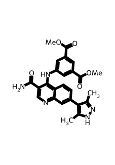 COC(=O)c1cc(Nc2c(C(N)=O)cnc3cc(-c4c(C)n[nH]c4C)ccc23)cc(C(=O)OC)c1